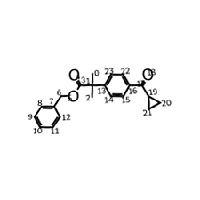 CC(C)(C(=O)OCc1ccccc1)c1ccc(C(=O)C2CC2)cc1